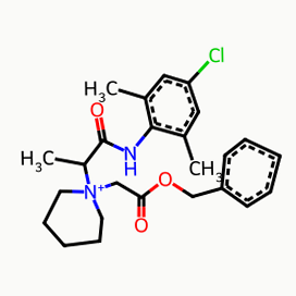 Cc1cc(Cl)cc(C)c1NC(=O)C(C)[N+]1(CC(=O)OCc2ccccc2)CCCCC1